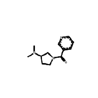 CN(C)C1CCN(C(=O)c2cccnc2)C1